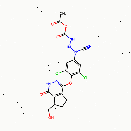 CC(=O)OC(=O)NNN(C#N)c1cc(Cl)c(Oc2n[nH]c(=O)c3c2CCC3CO)c(Cl)c1